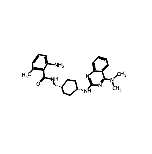 Cc1cccc(N)c1C(=O)NC[C@H]1CC[C@@H](Nc2nc(N(C)C)c3ccccc3n2)CC1